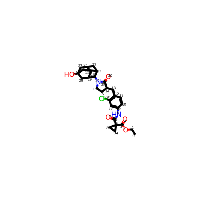 CCOC(=O)C1(C(=O)Nc2ccc(CC3CCN(C4C5CC6CC4CC(O)(C6)C5)C3=O)c(Cl)c2)CC1